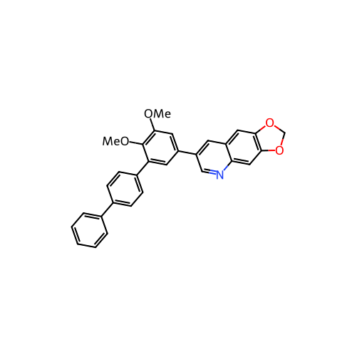 COc1cc(-c2cnc3cc4c(cc3c2)OCO4)cc(-c2ccc(-c3ccccc3)cc2)c1OC